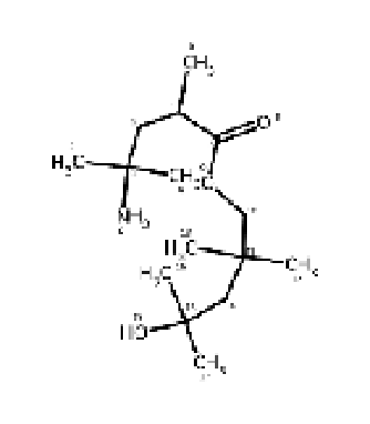 CC(CC(C)(C)N)C(=O)OCC(C)(C)CC(C)(C)O